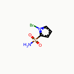 NS(=O)(=O)c1cccn1Br